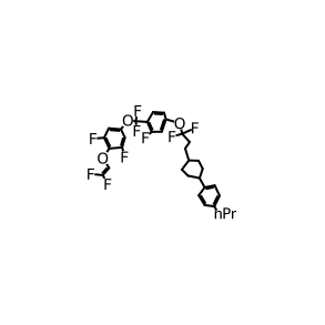 CCCc1ccc(C2CCC(CCC(F)(F)Oc3ccc(C(F)(F)Oc4cc(F)c(OC=C(F)F)c(F)c4)c(F)c3)CC2)cc1